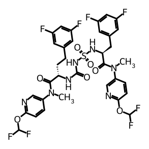 CN(C(=O)[C@H](CCc1cc(F)cc(F)c1)NC(=O)NS(=O)(=O)N[C@@H](Cc1cc(F)cc(F)c1)C(=O)N(C)c1ccc(OC(F)F)nc1)c1ccc(OC(F)F)nc1